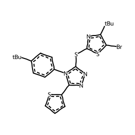 CC(C)(C)c1ccc(-n2c(Sc3nc(C(C)(C)C)c(Br)s3)nnc2-c2cccs2)cc1